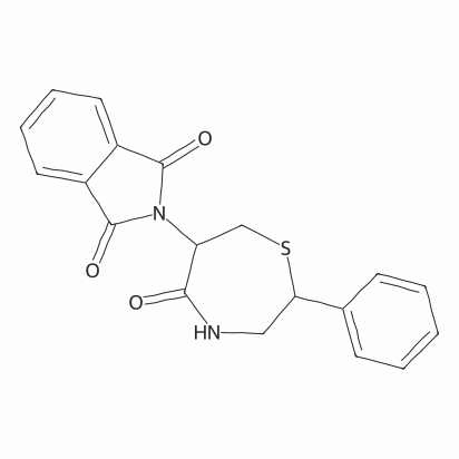 O=C1NCC(c2ccccc2)SCC1N1C(=O)c2ccccc2C1=O